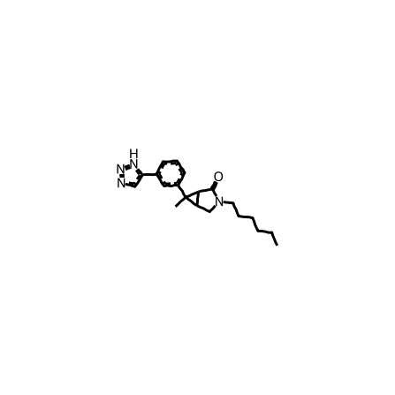 CCCCCCN1CC2C(C1=O)C2(C)c1cccc(-c2cnn[nH]2)c1